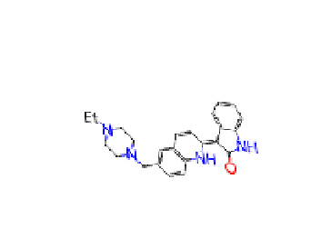 CCN1CCN(Cc2ccc3c(c2)C=CC(=C2C(=O)Nc4ccccc42)N3)CC1